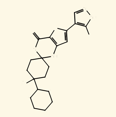 Cc1[nH]ncc1-c1cc2c(s1)C(=O)NC1(CCC(O)(C3CCCCC3)CC1)N2